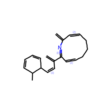 C=C1/C=C\CCC/C=C\C(C(=C)/C=C\C2C=CC=CC2C)=N/1